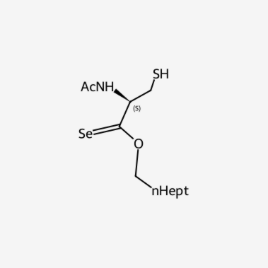 CCCCCCCCOC(=[Se])[C@H](CS)NC(C)=O